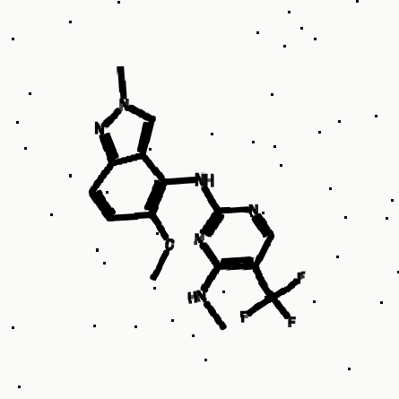 CNc1nc(Nc2c(OC)ccc3nn(C)cc23)ncc1C(F)(F)F